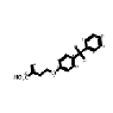 C=C(CCOc1ccc(C(C)(C)c2ccccc2)cc1)C(=O)O